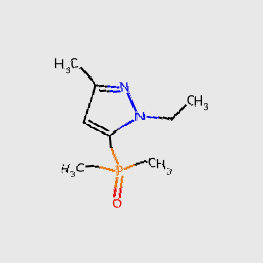 CCn1nc(C)cc1P(C)(C)=O